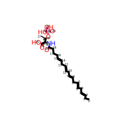 CCC=CCC=CCC=CCC=CCC=CCCCC(=O)N[C@H](C(=O)O)[C@@H](C)OP(=O)(O)O